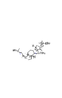 C=C1[C@@H](O[Si](C)(C)C(C)(C)C)C[C@@H]2C[C@]12[C@@H](/C=C1\CCC[C@]2(C)[C@@H]([C@H](C)/C=C/[C@H](C)C(C)C)CC[C@@H]12)OC